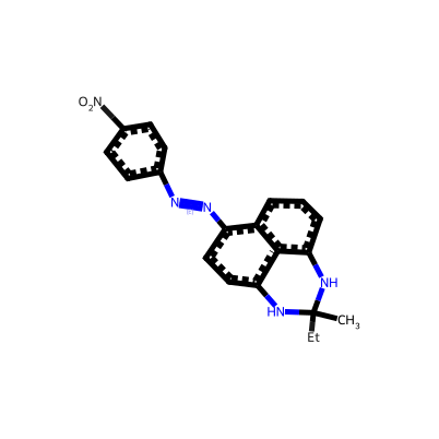 CCC1(C)Nc2cccc3c(/N=N/c4ccc([N+](=O)[O-])cc4)ccc(c23)N1